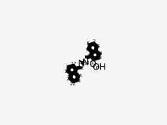 OOc1ccc2ccccc2c1C=NN=Cc1cccc2ccccc12